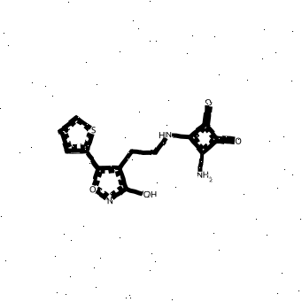 Nc1c(NCCc2c(O)noc2-c2cccs2)c(=O)c1=O